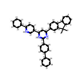 CC1(C)c2ccccc2-c2ccc(-c3cc(-c4ccc(-c5ccccc5)nc4)nc(-c4ccc(-c5ccccc5)cc4)n3)cc21